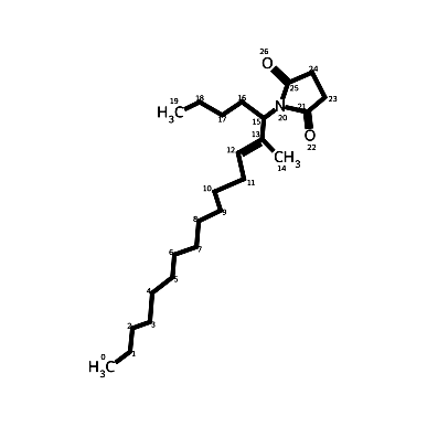 CCCCCCCCCCCC/C=C(\C)C(CCCC)N1C(=O)CCC1=O